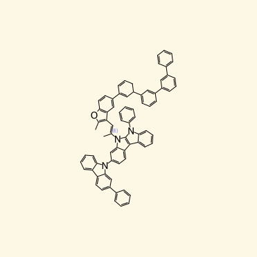 C/C(=C\c1c(C)oc2ccc(C3=CC(c4cccc(-c5cccc(-c6ccccc6)c5)c4)CC=C3)cc12)n1c2cc(-n3c4ccccc4c4ccc(-c5ccccc5)cc43)ccc2c2c3ccccc3n(-c3ccccc3)c21